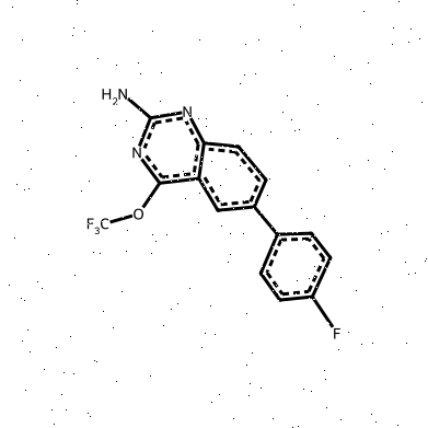 Nc1nc(OC(F)(F)F)c2cc(-c3ccc(F)cc3)ccc2n1